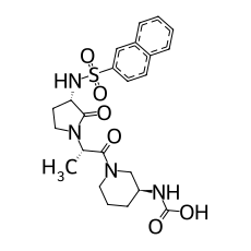 C[C@@H](C(=O)N1CCC[C@H](NC(=O)O)C1)N1CC[C@H](NS(=O)(=O)c2ccc3ccccc3c2)C1=O